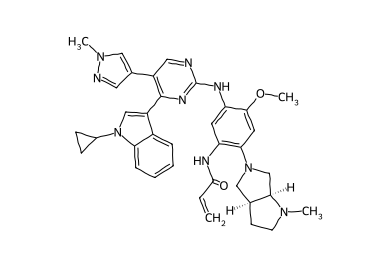 C=CC(=O)Nc1cc(Nc2ncc(-c3cnn(C)c3)c(-c3cn(C4CC4)c4ccccc34)n2)c(OC)cc1N1C[C@@H]2CCN(C)[C@@H]2C1